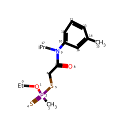 CCOP(C)(=S)SCC(=O)N(c1cccc(C)c1)C(C)C